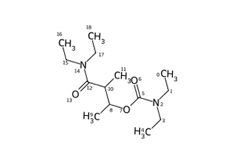 CCN(CC)C(=O)OC(C)C(C)C(=O)N(CC)CC